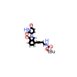 CC(C)(C)OC(=O)NCCC#Cc1cccc2c1CN(C1CCC(=O)NC1=O)C2=O